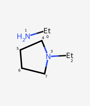 CCN.CCN1CCCC1